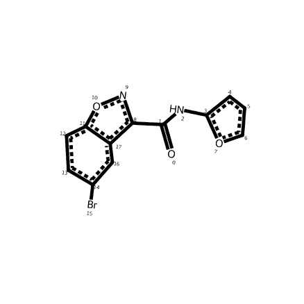 O=C(Nc1ccco1)c1noc2ccc(Br)cc12